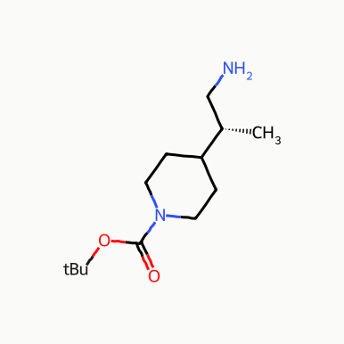 C[C@@H](CN)C1CCN(C(=O)OC(C)(C)C)CC1